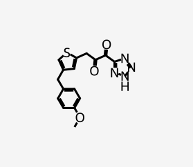 COc1ccc(Cc2csc(CC(=O)C(=O)c3nn[nH]n3)c2)cc1